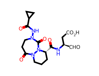 O=C[C@H](CC(=O)O)NC(=O)[C@@H]1CCCN2C(=O)CCN(NC(=O)C3CC3)C(=O)N12